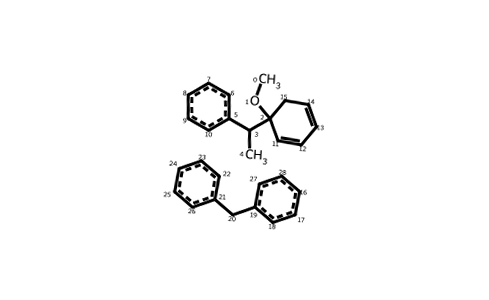 COC1(C(C)c2ccccc2)C=CC=CC1.c1ccc(Cc2ccccc2)cc1